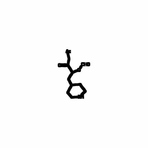 CC(=O)CC(=O)C(CC1CCNCC1)OC=O